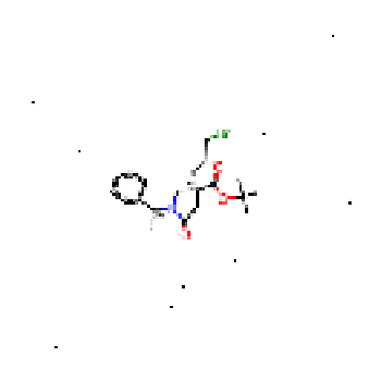 C[C@H](c1ccccc1)N1C[C@@](CCCBr)(C(=O)OC(C)(C)C)CC1=O